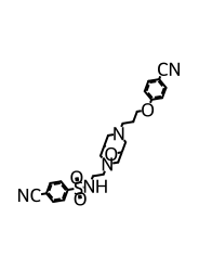 N#Cc1ccc(OCCCN2CC3CN(CCNS(=O)(=O)c4ccc(C#N)cc4)CC(C2)O3)cc1